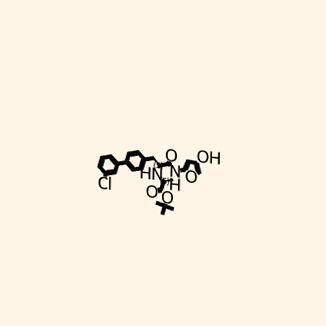 C[C@H](N[C@@H](Cc1ccc(-c2cccc(Cl)c2)cc1)C(=O)Nc1cc(O)co1)C(=O)OC(C)(C)C